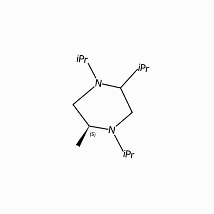 CC(C)C1CN(C(C)C)[C@@H](C)CN1C(C)C